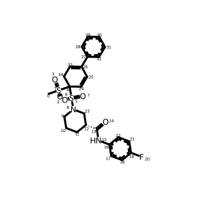 CS(=O)(=O)C1(S(=O)(=O)N2CCC[C@@H](C(=O)Nc3ccc(F)cc3)C2)C=CC(c2ccccc2)=CC1